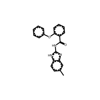 Cc1ccc2[nH]c(NC(=O)c3ccccc3Oc3ccccc3)nc2c1